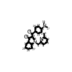 Cc1cccc(Cn2cc(C(=O)c3ccc(N(C)C)cc3)c(=O)c3ccccc32)n1